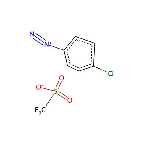 N#[N+]c1ccc(Cl)cc1.O=S(=O)([O-])C(F)(F)F